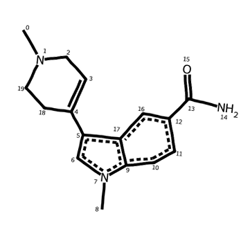 CN1CC=C(c2cn(C)c3ccc(C(N)=O)cc23)CC1